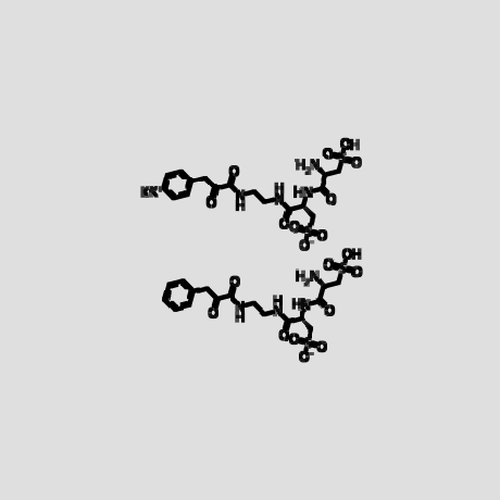 N[C@@H](CS(=O)(=O)O)C(=O)N[C@@H](CS(=O)(=O)[O-])C(=O)NCCNC(=O)C(=O)Cc1ccccc1.N[C@@H](CS(=O)(=O)O)C(=O)N[C@@H](CS(=O)(=O)[O-])C(=O)NCCNC(=O)C(=O)Cc1ccccc1.[K+].[K+]